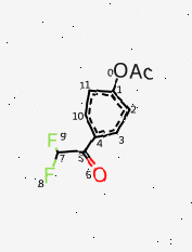 CC(=O)Oc1ccc(C(=O)C(F)F)cc1